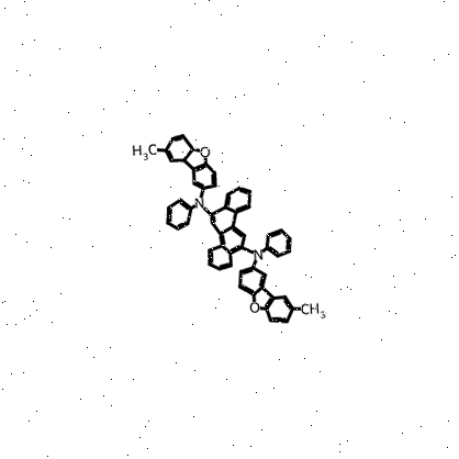 CC1=CC2c3cc(N(c4ccccc4)c4cc5c6ccccc6c(N(c6ccccc6)c6ccc7oc8ccc(C)cc8c7c6)cc5c5ccccc45)ccc3OC2C=C1